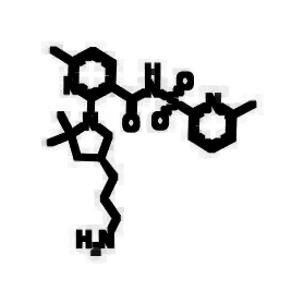 Cc1cccc(S(=O)(=O)NC(=O)c2ccc(C)nc2N2C[C@@H](CCCN)CC2(C)C)n1